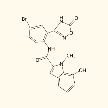 Cn1c(C(=O)Nc2ccc(Br)cc2-c2noc(=O)[nH]2)cc2cccc(O)c21